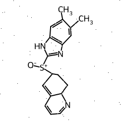 Cc1cc2nc([S+]([O-])C3C=C4C=CC=NC4CC3)[nH]c2cc1C